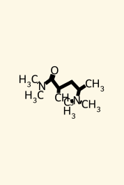 CC(CC(C)N(C)C)C(=O)N(C)C